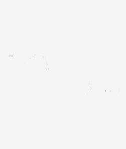 O=Cc1ccc(CCc2ccc(C(=O)O)cc2)cc1